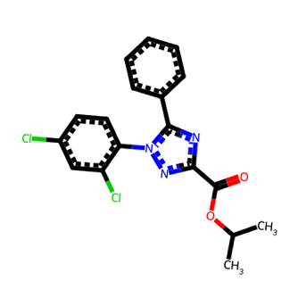 CC(C)OC(=O)c1nc(-c2ccccc2)n(-c2ccc(Cl)cc2Cl)n1